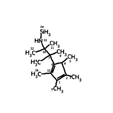 CC1=C(C)C(C)C(C(C)(C)C(C)(C)N[SiH3])=C1C